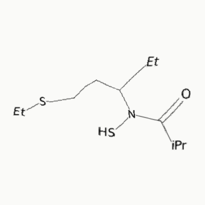 CCSCCC(CC)N(S)C(=O)C(C)C